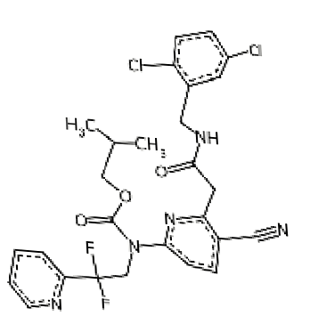 CC(C)COC(=O)N(CC(F)(F)c1ccccn1)c1ccc(C#N)c(CC(=O)NCc2cc(Cl)ccc2Cl)n1